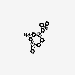 Cc1ccc(-c2cc(-c3cccc(-c4cccc(-c5nc(Cc6ccccc6)nc(-c6ccc(C#N)cc6)n5)c4)c3)nc(-c3ccc(P(=O)(c4ccccc4)c4ccccc4)cc3)n2)cc1